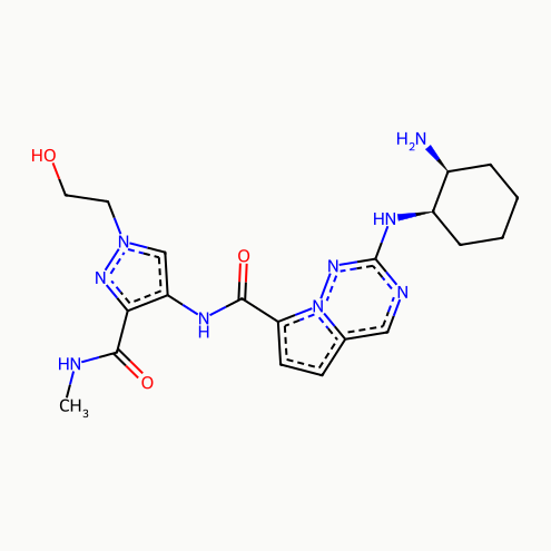 CNC(=O)c1nn(CCO)cc1NC(=O)c1ccc2cnc(N[C@@H]3CCCC[C@@H]3N)nn12